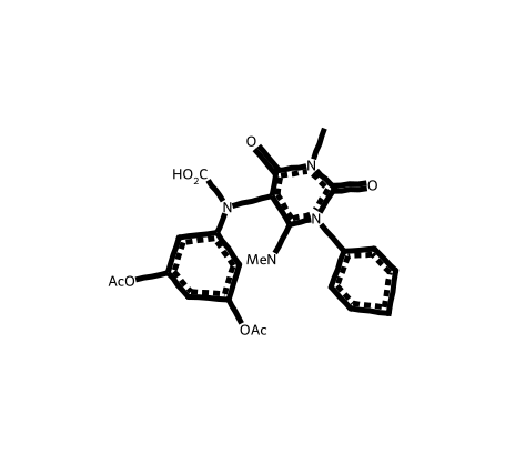 CNc1c(N(C(=O)O)c2cc(OC(C)=O)cc(OC(C)=O)c2)c(=O)n(C)c(=O)n1-c1ccccc1